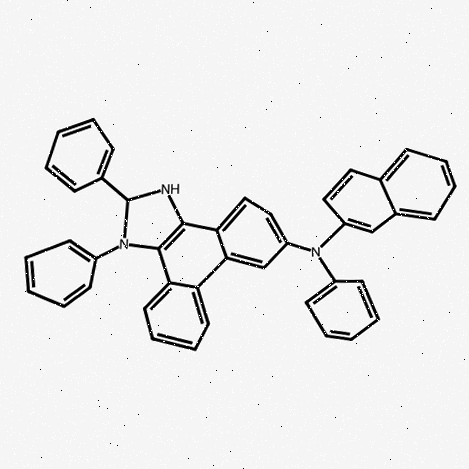 c1ccc(C2Nc3c(c4ccccc4c4cc(N(c5ccccc5)c5ccc6ccccc6c5)ccc34)N2c2ccccc2)cc1